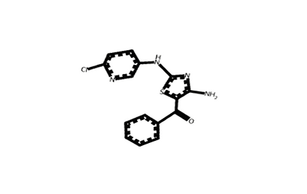 Nc1nc(Nc2ccc(Cl)nc2)sc1C(=O)c1ccccc1